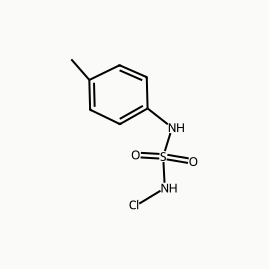 Cc1ccc(NS(=O)(=O)NCl)cc1